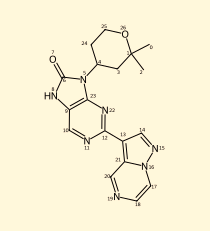 CC1(C)CC(n2c(=O)[nH]c3cnc(-c4cnn5ccncc45)nc32)CCO1